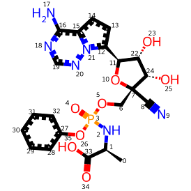 C[C@H](NP(=O)(OC[C@@]1(C#N)O[C@@H](c2ccc3c(N)ncnn23)[C@H](O)[C@@H]1O)Oc1ccccc1)C(=O)O